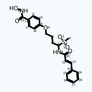 CS(=O)(=O)C(CCCOc1ccc(C(=O)NO)cc1)NC(=O)/C=C/c1ccccc1